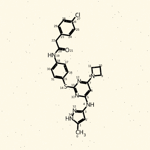 Cc1cc(Nc2cc(N3CCC3)nc(Sc3ccc(NC(=O)Cc4ccc(Cl)cc4)cc3)n2)n[nH]1